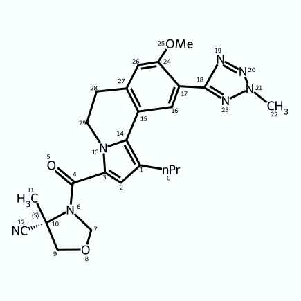 CCCc1cc(C(=O)N2COC[C@]2(C)C#N)n2c1-c1cc(-c3nnn(C)n3)c(OC)cc1CC2